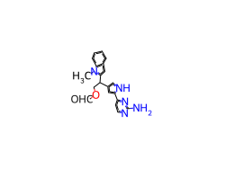 Cn1c(C(COC=O)c2c[nH]c(-c3ccnc(N)n3)c2)cc2ccccc21